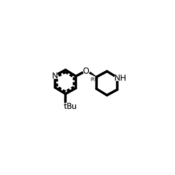 CC(C)(C)c1cncc(O[C@@H]2CCCNC2)c1